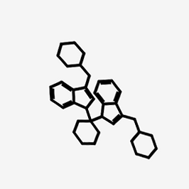 C1=C(CC2CCCCC2)c2ccccc2C1C1(C2C=C(CC3CCCCC3)c3ccccc32)CCCCC1